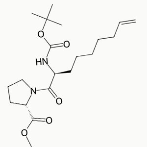 C=CCCCCC[C@H](NC(=O)OC(C)(C)C)C(=O)N1CCC[C@H]1C(=O)OC